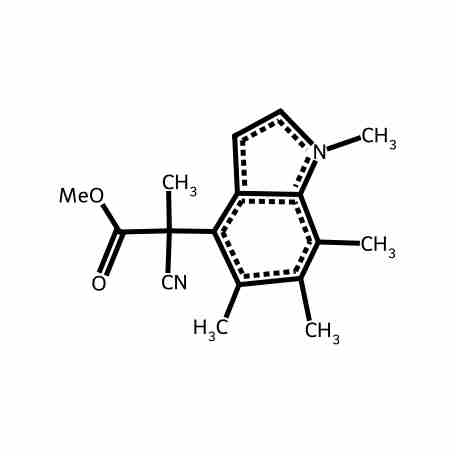 COC(=O)C(C)(C#N)c1c(C)c(C)c(C)c2c1ccn2C